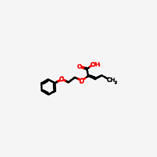 CC/C=C(/OCCOc1ccccc1)C(=O)O